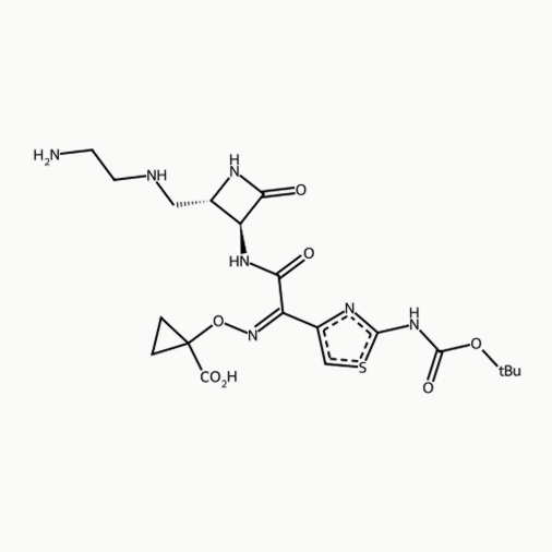 CC(C)(C)OC(=O)Nc1nc(C(=NOC2(C(=O)O)CC2)C(=O)N[C@@H]2C(=O)N[C@H]2CNCCN)cs1